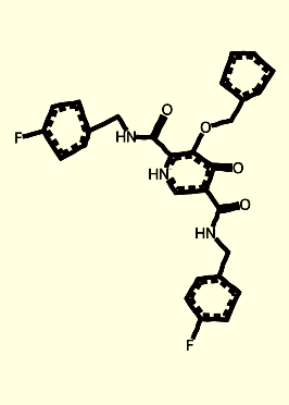 O=C(NCc1ccc(F)cc1)c1[nH]cc(C(=O)NCc2ccc(F)cc2)c(=O)c1OCc1ccccc1